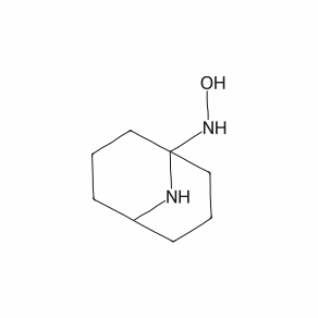 ONC12CCCC(CCC1)N2